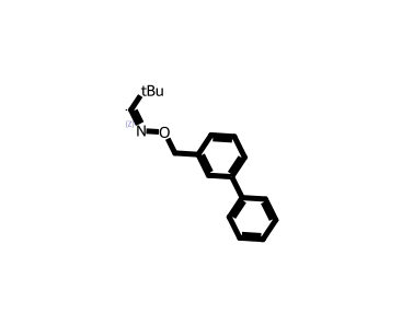 CC(C)(C)/[C]=N\OCc1cccc(-c2ccccc2)c1